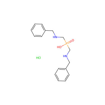 Cl.O=P(O)(CNCc1ccccc1)CNCc1ccccc1